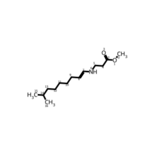 COC(=O)CCNC=CCCCCCC(C)C